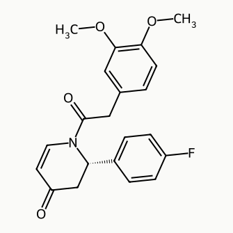 COc1ccc(CC(=O)N2C=CC(=O)C[C@H]2c2ccc(F)cc2)cc1OC